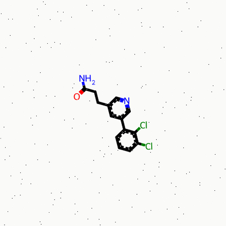 NC(=O)CCc1cncc(-c2cccc(Cl)c2Cl)c1